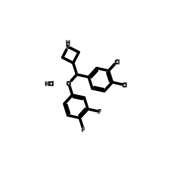 Cl.Fc1ccc(OC(c2ccc(Cl)c(Cl)c2)C2CNC2)cc1F